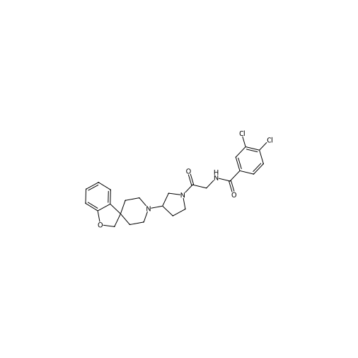 O=C(NCC(=O)N1CCC(N2CCC3(CC2)COc2ccccc23)C1)c1ccc(Cl)c(Cl)c1